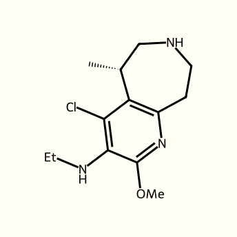 CCNc1c(OC)nc2c(c1Cl)[C@H](C)CNCC2